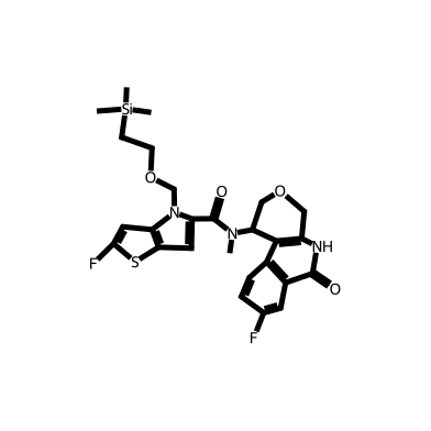 CN(C(=O)c1cc2sc(F)cc2n1COCC[Si](C)(C)C)C1COCc2[nH]c(=O)c3cc(F)ccc3c21